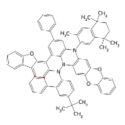 Cc1cc2c(cc1N1c3cc4c(cc3B3c5c(cc(-c6ccccc6)cc51)-c1c(ccc5c1oc1ccccc15)N3c1ccc(C(C)(C)C)cc1-c1ccccc1)Oc1ccccc1O4)C(C)(C)CCC2(C)C